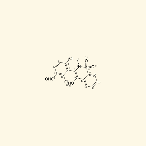 CN1C(c2c(Cl)ccc(C=O)c2Cl)=C(O)c2ccccc2S1(=O)=O